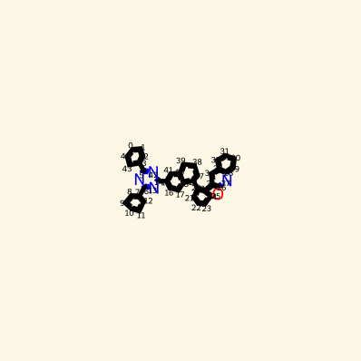 c1ccc(-c2nc(-c3ccccc3)nc(-c3ccc4c(-c5cccc6oc7nc8ccccc8cc7c56)cccc4c3)n2)cc1